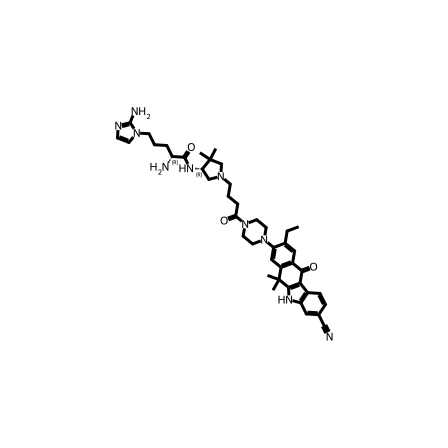 CCc1cc2c(cc1N1CCN(C(=O)CCCN3C[C@H](NC(=O)[C@H](N)CCCn4ccnc4N)C(C)(C)C3)CC1)C(C)(C)c1[nH]c3cc(C#N)ccc3c1C2=O